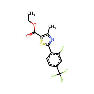 CCOC(=O)c1sc(-c2ccc(C(F)(F)F)cc2F)nc1C